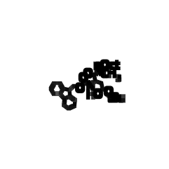 CCCCCCCCN(C)C(=O)C(CC(=O)OC(C)(C)C)NC(=O)OCC1c2ccccc2-c2ccccc21